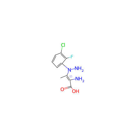 C/C(=C(/N)C(=O)O)N(N)c1cccc(Cl)c1F